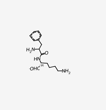 NCCCC[C@H]([C]=O)NC(=O)C(N)Cc1ccccc1